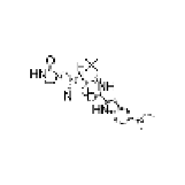 CC[C@H](C)c1ccc2[nH]c(C(=O)N[C@@H](CC(C)(C)C)C(=O)N[C@H](C#N)C[C@@H]3CCNC3=O)cc2c1